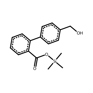 C[Si](C)(C)OC(=O)c1ccccc1-c1ccc(CO)cc1